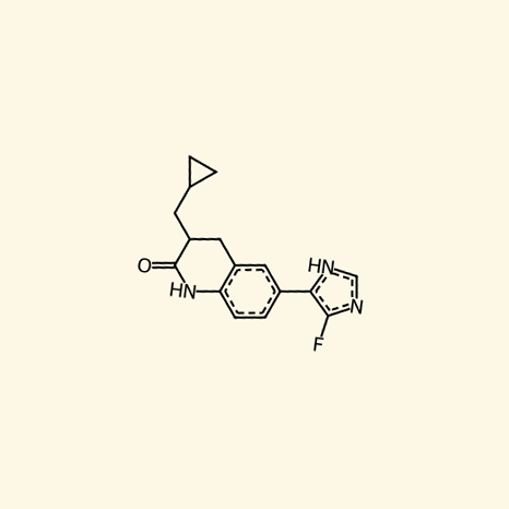 O=C1Nc2ccc(-c3[nH]cnc3F)cc2CC1CC1CC1